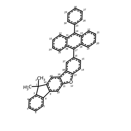 CC1(C)c2ccccc2-c2cc3oc4ccc(-c5c6ccccc6c(-c6ccccc6)c6ccccc56)cc4c3cc21